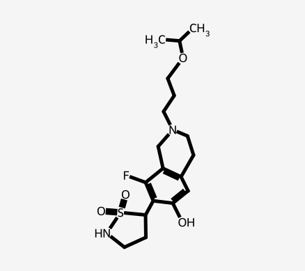 CC(C)OCCCN1CCc2cc(O)c(C3CCNS3(=O)=O)c(F)c2C1